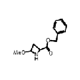 COC1CC(C(=O)OCc2ccccc2)N1